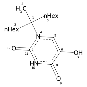 CCCCCCC(C)(CCCCCC)n1cc(O)c(=O)[nH]c1=O